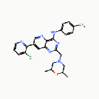 CC1CN(Cc2nc(Nc3ccc(C(F)(F)F)cc3)c3ncc(-c4ncccc4Cl)cc3n2)CC(C)O1